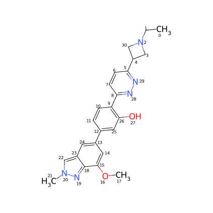 CCN1CC(c2ccc(-c3ccc(-c4cc(OC)c5nn(C)cc5c4)cc3O)nn2)C1